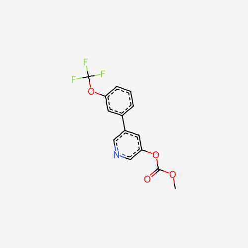 COC(=O)Oc1cncc(-c2cccc(OC(F)(F)F)c2)c1